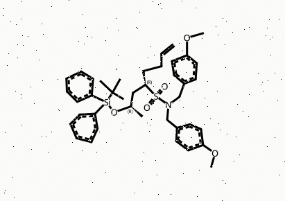 C=CCC[C@H](C[C@@H](C)O[Si](c1ccccc1)(c1ccccc1)C(C)(C)C)S(=O)(=O)N(Cc1ccc(OC)cc1)Cc1ccc(OC)cc1